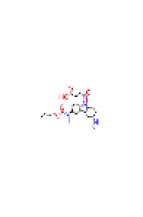 C=CCCOC(=O)Nc1ccc2[nH]c3c(c2c1)CC(NC(C)C)CC3.O=C(O)C=CC(=O)O